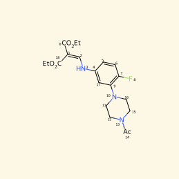 CCOC(=O)C(=CNc1ccc(F)c(N2CCN(C(C)=O)CC2)c1)C(=O)OCC